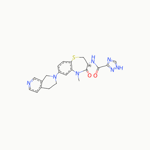 CN1C(=O)[C@@H](NC(=O)c2nc[nH]n2)CSc2ccc(N3CCc4ccncc4C3)cc21